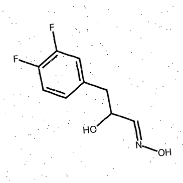 ON=CC(O)Cc1ccc(F)c(F)c1